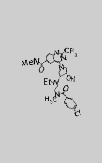 CCN(CCN(C)C(=O)c1ccc(Cl)cc1)[C@@H]1CN(c2nc(C(F)(F)F)nc3ccc(C(=O)NC)cc23)C[C@H]1O